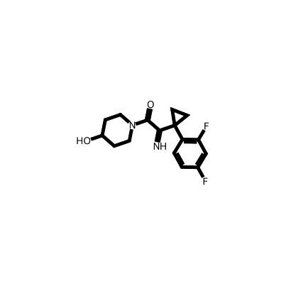 N=C(C(=O)N1CCC(O)CC1)C1(c2ccc(F)cc2F)CC1